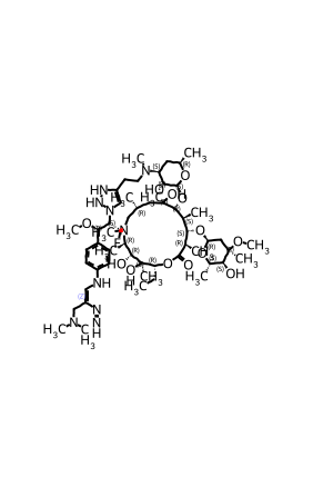 CC[C@H]1OC(=O)[C@H](C)[C@@H](O[C@H]2C[C@@](C)(OC)[C@@H](O)[C@H](C)O2)[C@H](C)[C@@H](O[C@@H]2O[C@H](C)C[C@H](N(C)CCC3=CN([C@H](CF)[C@H](OC)c4ccc(N/C=C(/CN(C)C)N=N)cc4)NN3)[C@H]2O)[C@](C)(O)C[C@@H](C)CN(C)[C@H](C)[C@@H](O)[C@]1(C)O